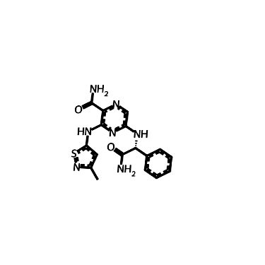 Cc1cc(Nc2nc(N[C@@H](C(N)=O)c3ccccc3)cnc2C(N)=O)sn1